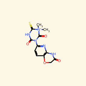 C[N+]1(C)C(=O)N(c2ccc3c(n2)NC(=O)CO3)C(=O)NC1=S